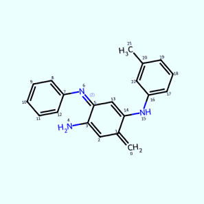 C=C1C=C(N)/C(=N\c2ccccc2)C=C1Nc1cccc(C)c1